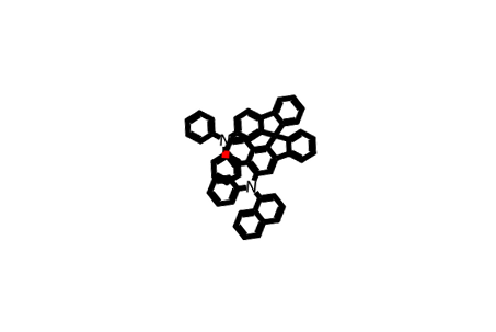 c1ccc(N(c2ccccc2)c2ccc3c(c2)C2(c4ccccc4-3)c3ccccc3-c3cc(N(c4ccccc4)c4cccc5ccccc45)c4ccccc4c32)cc1